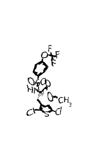 CCOC(=O)[C@H](Cc1cc(Cl)sc1Cl)NS(=O)(=O)c1ccc(OC(F)(F)F)cc1